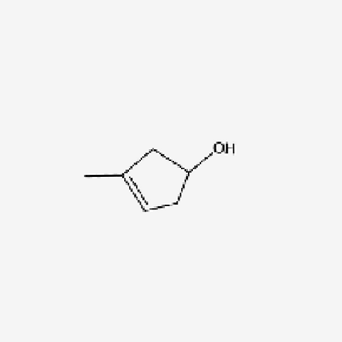 CC1=CCC(O)C1